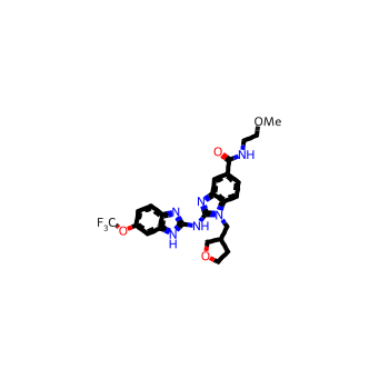 COCCNC(=O)c1ccc2c(c1)nc(Nc1nc3ccc(OC(F)(F)F)cc3[nH]1)n2CC1CCOC1